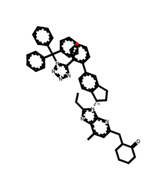 CCc1nc2c(C)cc(CC3CCCCC3=O)nc2n1[C@H]1CCc2cc(-c3ccccc3-c3nnnn3C(c3ccccc3)(c3ccccc3)c3ccccc3)ccc21